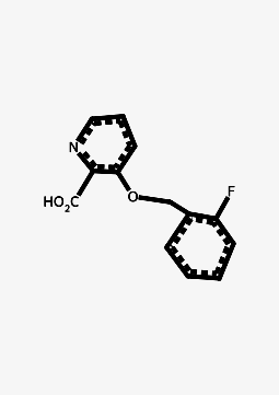 O=C(O)c1ncccc1OCc1ccccc1F